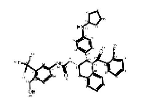 O=C(C[C@H]1Cc2ccccc2N(C(=O)c2ccccc2F)[C@H]1c1ccc(NC2CCCC2)cc1)Nc1ccc(CO)c(C(F)(F)F)c1